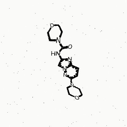 O=C(Nc1cn2nc(N3CCOCC3)ccc2n1)N1CCOCC1